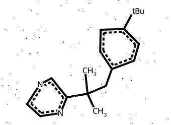 CC(C)(C)c1ccc(CC(C)(C)c2cnccn2)cc1